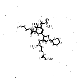 CCN(C)C(=O)C1C=C(c2nn(C3CCCCO3)cc2CN(C)CCOC(=O)NC)CC(C(=O)NCCC(C)C)C1(C)C